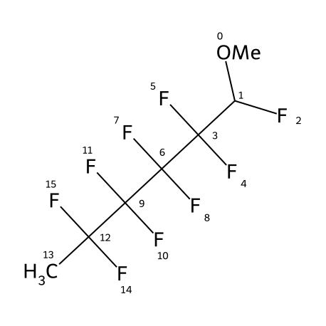 COC(F)C(F)(F)C(F)(F)C(F)(F)C(C)(F)F